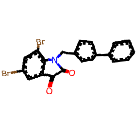 O=C1C(=O)N(Cc2ccc(-c3ccccc3)cc2)c2c(Br)cc(Br)cc21